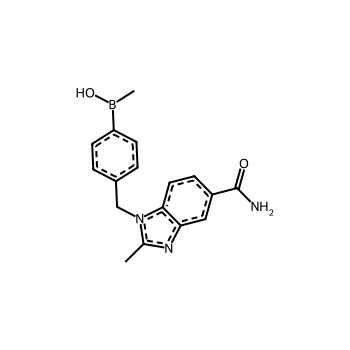 CB(O)c1ccc(Cn2c(C)nc3cc(C(N)=O)ccc32)cc1